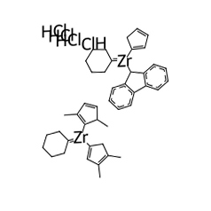 C1=CC[C]([Zr](=[C]2CCCCC2)[CH]2c3ccccc3-c3ccccc32)=C1.CC1=C(C)C[C]([Zr]([C]2=C(C)C=CC2C)=[C]2CCCCC2)=C1.Cl.Cl.Cl.Cl